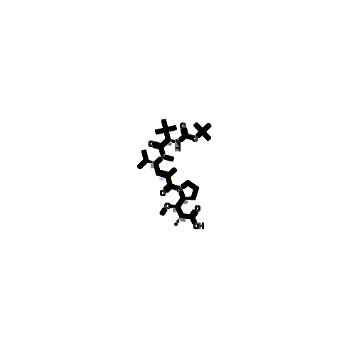 CO[C@H]([C@@H](C)C(=O)O)[C@@H]1CCCN1C(=O)/C(C)=C/[C@H](C(C)C)N(C)C(=O)[C@@H](NC(=O)OC(C)(C)C)C(C)(C)C